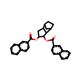 O=C(OC1CC2C3CCC(C3)C2C1OC(=O)c1ccc2ccccc2c1)c1ccc2ccccc2c1